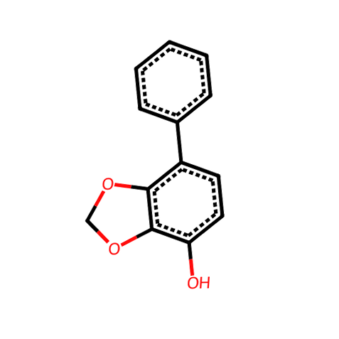 Oc1ccc(-c2ccccc2)c2c1OCO2